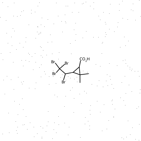 CC1(C)C(C(=O)O)C1C(Br)C(Br)(Br)Br